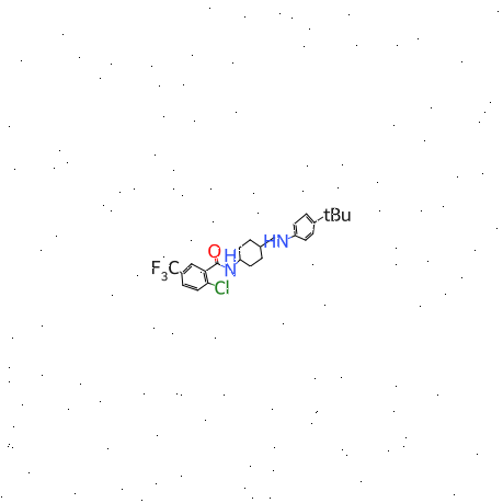 CC(C)(C)c1ccc(NCC2CCC(NC(=O)c3cc(C(F)(F)F)ccc3Cl)CC2)cc1